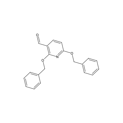 O=Cc1ccc(OCc2ccccc2)nc1OCc1ccccc1